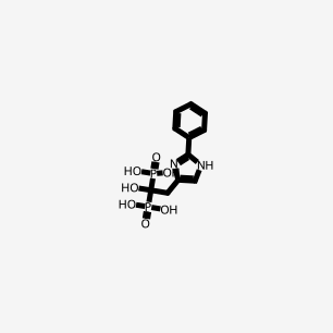 O=P(O)(O)C(O)(Cc1c[nH]c(-c2ccccc2)n1)P(=O)(O)O